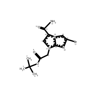 CC(C)(C)OC(=O)Cn1cc(C(N)=O)n2cc(Br)nc12